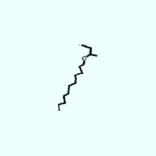 [CH2]CC(C)OCCCCCCCCCCC